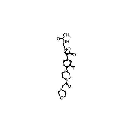 CC(=O)NCn1cc(-c2ccc(N3CCN(C(=O)CN4CCOCC4)CC3)c(F)c2)c(=O)o1